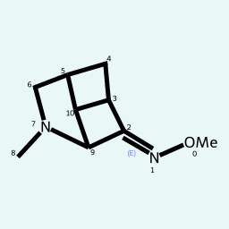 CO/N=C1\C2CC3CN(C)C1C32